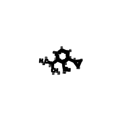 CN(C)c1ncnc(C2CC2)c1C(C)(C)C